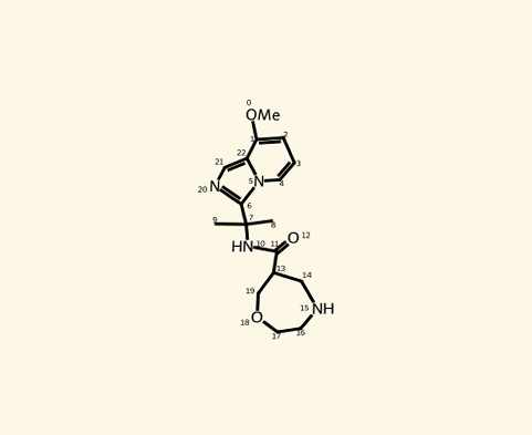 COc1cccn2c(C(C)(C)NC(=O)C3CNCCOC3)ncc12